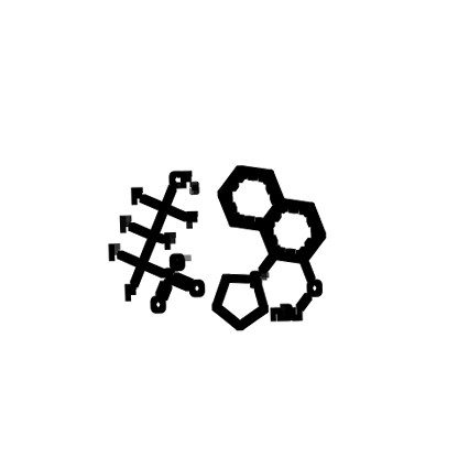 CCCCOc1ccc2ccccc2c1[S+]1CCCC1.O=S(=O)([O-])C(F)(F)C(F)(F)C(F)(F)C(F)(F)F